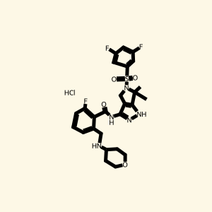 CC1(C)c2[nH]nc(NC(=O)c3c(F)cccc3CNC3CCOCC3)c2CN1S(=O)(=O)c1cc(F)cc(F)c1.Cl